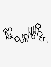 O=C(Nc1cnc(Oc2ccc(-c3cnc(N4CCCC4=O)s3)cc2)nc1)NC1CC(C(F)(F)F)CCC1c1ccccc1